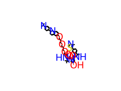 Cc1ncsc1-c1ccc(C(C)NC(=O)[C@@H]2C[C@@H](O)CN2C(=O)C(NC(=O)COCCCOCCCOc2ccc3nc(-c4ccc(N(C)C)cc4)ccc3c2)C(C)(C)C)cc1